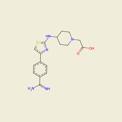 N=C(N)c1ccc(-c2csc(NC3CCN(CC(=O)O)CC3)n2)cc1